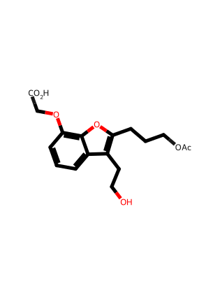 CC(=O)OCCCc1oc2c(OCC(=O)O)cccc2c1CCO